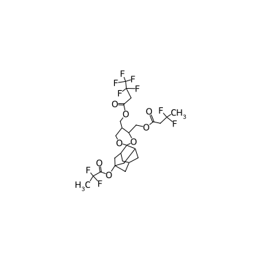 CC(F)(F)CC(=O)OCC1OC2(OCC1COC(=O)CC(F)(F)C(F)(F)F)C1CC3CC2CC(OC(=O)C(C)(F)F)(C3)C1